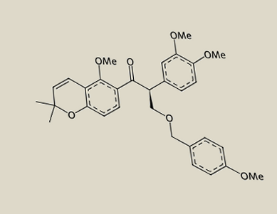 COc1ccc(COC[C@@H](C(=O)c2ccc3c(c2OC)C=CC(C)(C)O3)c2ccc(OC)c(OC)c2)cc1